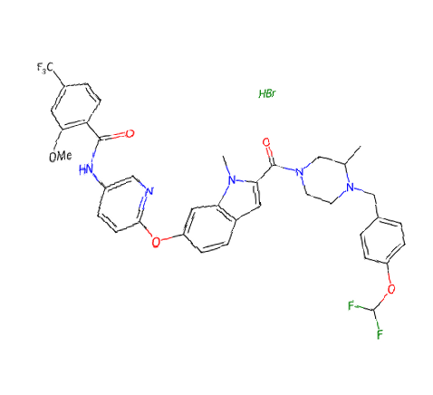 Br.COc1cc(C(F)(F)F)ccc1C(=O)Nc1ccc(Oc2ccc3cc(C(=O)N4CCN(Cc5ccc(OC(F)F)cc5)C(C)C4)n(C)c3c2)nc1